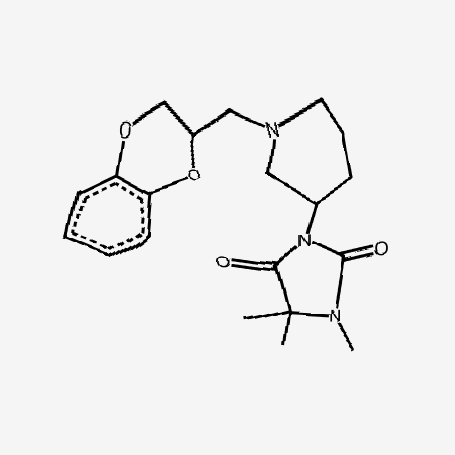 CN1C(=O)N(C2CCCN(CC3COc4ccccc4O3)C2)C(=O)C1(C)C